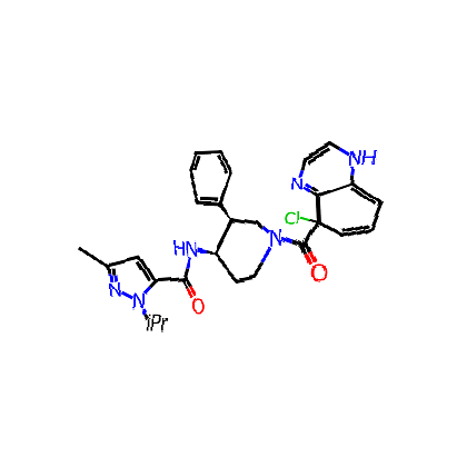 Cc1cc(C(=O)N[C@@H]2CCN(C(=O)C3(Cl)C=CC=C4NC=CN=C43)C[C@@H]2c2ccccc2)n(C(C)C)n1